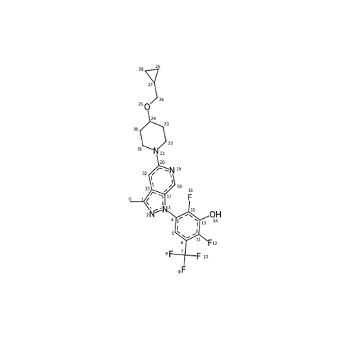 Cc1nn(-c2cc(C(F)(F)F)c(F)c(O)c2F)c2cnc(N3CCC(OCC4CC4)CC3)cc12